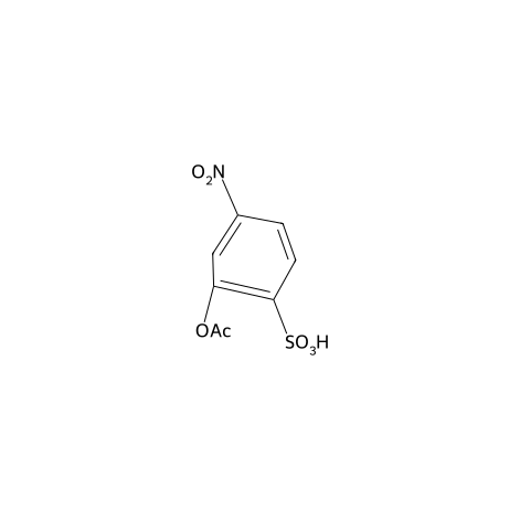 CC(=O)Oc1cc([N+](=O)[O-])ccc1S(=O)(=O)O